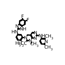 C=C1N(C)c2nc(Nc3ccc(C)nc3C)ncc2CN1c1cc(Nc2nc3cc(F)c(F)cc3[nH]2)ccc1C